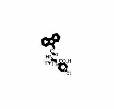 CCN1CCC(NC[C@@H](NC(=O)OCC2c3ccccc3-c3ccccc32)C(C)C)(C(=O)O)CC1